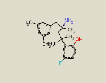 Cc1cc(C)cc(CC(N)(CC(C)(C)c2cc(F)ccc2O)C(F)(F)F)c1